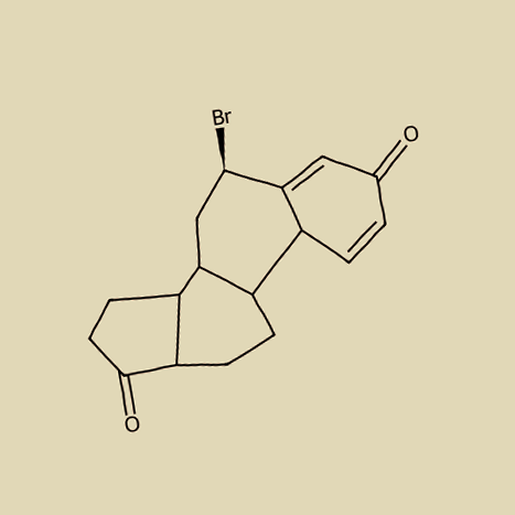 O=C1C=CC2C(=C1)[C@H](Br)CC1C2CCC2C(=O)CCC21